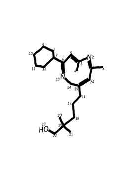 CC1=N/C(C)=C/C(C2CCCCC2)=N\C/C(CCCC(C)(C)CO)=C\1